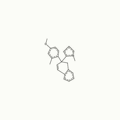 COc1ccc(C2(c3cccn3C)C=Cc3ccccc3C2)c(C)c1